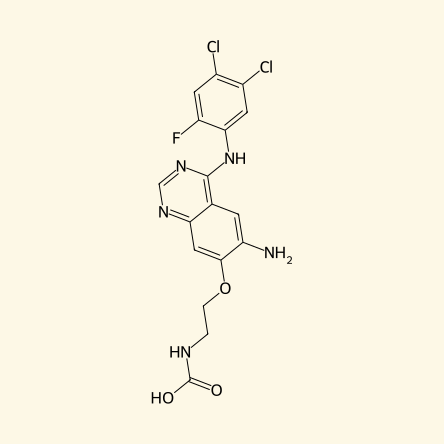 Nc1cc2c(Nc3cc(Cl)c(Cl)cc3F)ncnc2cc1OCCNC(=O)O